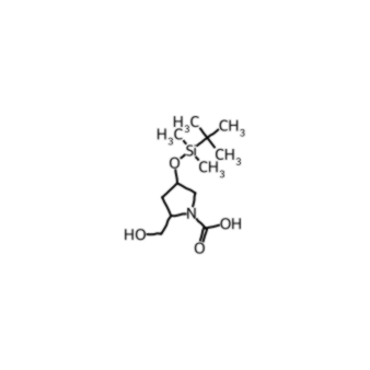 CC(C)(C)[Si](C)(C)OC1CC(CO)N(C(=O)O)C1